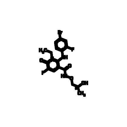 CCn1c(Nc2ccc(Br)cc2F)c(C(=O)NOC[C@H](C)O)cc(F)c1=O